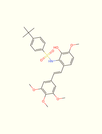 COc1ccc(C=Cc2cc(OC)c(OC)c(OC)c2)c(NS(=O)(=O)c2ccc(C(C)(C)C)cc2)c1O